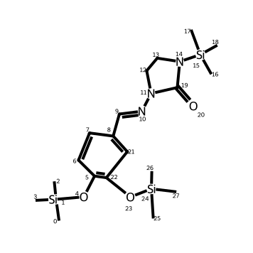 C[Si](C)(C)Oc1ccc(C=NN2CCN([Si](C)(C)C)C2=O)cc1O[Si](C)(C)C